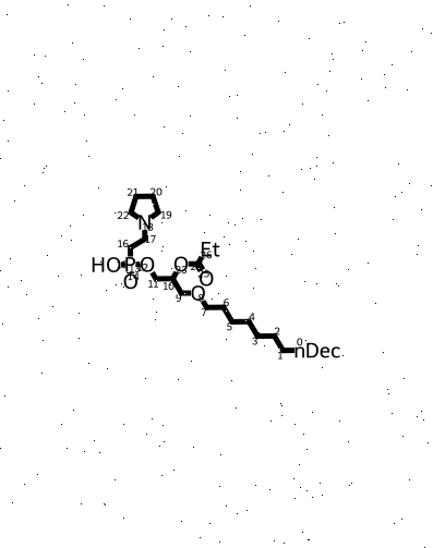 CCCCCCCCCCCCCCCCCOCC(COP(=O)(O)CCN1CCCC1)OC(=O)CC